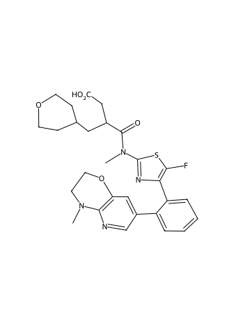 CN1CCOc2cc(-c3ccccc3-c3nc(N(C)C(=O)C(CC(=O)O)CC4CCOCC4)sc3F)cnc21